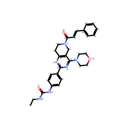 CCNC(=O)Nc1ccc(-c2nc3c(c(N4CCOCC4)n2)CN(C(=O)C=Cc2ccccc2)CC3)cc1